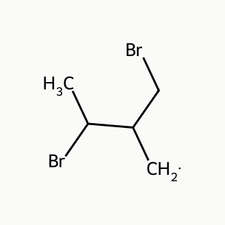 [CH2]C(CBr)C(C)Br